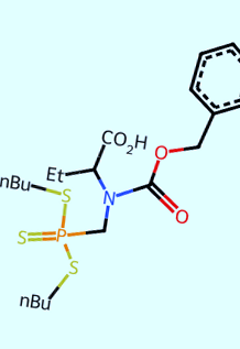 CCCCSP(=S)(CN(C(=O)OCc1ccccc1)C(CC)C(=O)O)SCCCC